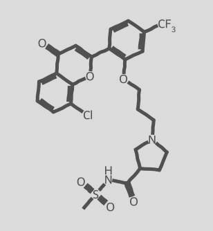 CS(=O)(=O)NC(=O)C1CCN(CCCOc2cc(C(F)(F)F)ccc2-c2cc(=O)c3cccc(Cl)c3o2)C1